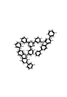 c1ccc(-c2ccc3c4ccc(-c5ccccc5)cc4n(-c4cccc(-c5nc(-c6ccccc6)nc(-c6cccc(-n7c8cc(-c9ccccc9)ccc8c8ccc(-c9ccccc9)cc87)c6)n5)c4)c3c2)cc1